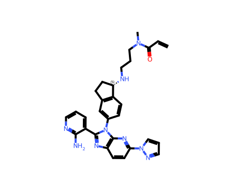 C=CC(=O)N(C)CCCN[C@H]1CCc2cc(-n3c(-c4cccnc4N)nc4ccc(-n5cccn5)nc43)ccc21